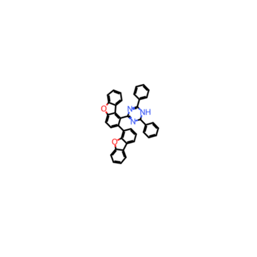 c1ccc(C2=NC(c3c(-c4cccc5c4oc4ccccc45)ccc4oc5ccccc5c34)=NC(c3ccccc3)N2)cc1